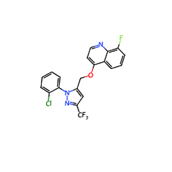 Fc1cccc2c(OCc3cc(C(F)(F)F)nn3-c3ccccc3Cl)ccnc12